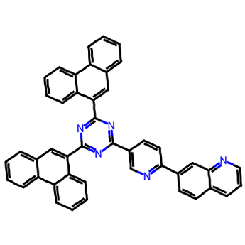 c1cnc2cc(-c3ccc(-c4nc(-c5cc6ccccc6c6ccccc56)nc(-c5cc6ccccc6c6ccccc56)n4)cn3)ccc2c1